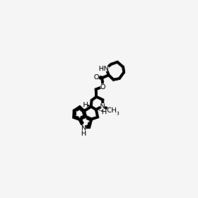 CN1CC(COC(=O)C2CCCCCCN2)C[C@H]2c3cccc4[nH]cc(c34)C[C@@H]21